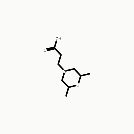 CC1CN(CCC(=O)O)CC(C)O1